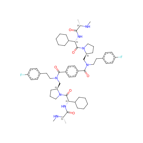 CN[C@@H](C)C(=O)N[C@H](C(=O)N1CCC[C@H]1CN(CCc1ccc(F)cc1)C(=O)c1ccc(C(=O)N(CCc2ccc(F)cc2)C[C@@H]2CCCN2C(=O)[C@@H](NC(=O)[C@H](C)NC)C2CCCCC2)cc1)C1CCCCC1